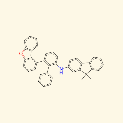 CC1(C)c2ccccc2-c2ccc(Nc3cccc(-c4cccc5oc6ccccc6c45)c3-c3ccccc3)cc21